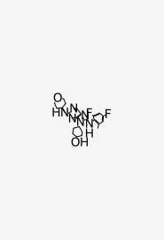 Cc1cc(F)cc(F)c1Nc1nc2cnc(NC3CCOCC3)nc2n1[C@H]1CC[C@@H](O)CC1